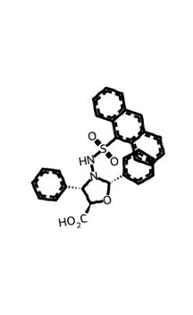 O=C(O)[C@@H]1O[C@@H](c2ccccc2)N(NS(=O)(=O)c2c3ccccc3cc3ccccc23)[C@H]1c1ccccc1